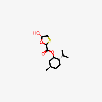 CC(C)[C@@H]1CC[C@@H](C)C[C@H]1OC(=O)C1O[C@H](O)CS1